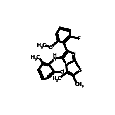 COc1cccc(F)c1-c1nc2sc(C)c(C)n2c1Nc1c(C)cccc1Cl